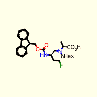 CCCCCCN(C[C@@H](CCF)NC(=O)OCC1c2ccccc2-c2ccccc21)[C@@H](C)C(=O)O